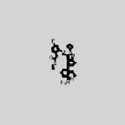 CCOC(=O)Cc1ccc(F)cc1OCc1c2cc(-c3cccc4c(N)nccc34)ccc2nn1C1CCC1